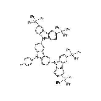 CC(C)[Si](c1ccc2c(c1)c1cc([Si](C(C)C)(C(C)C)C(C)C)ccc1n2-c1ccc2c(c1)c1cc(-n3c4ccc([Si](C(C)C)(C(C)C)C(C)C)cc4c4cc([Si](C(C)C)(C(C)C)C(C)C)ccc43)ccc1n2-c1ccc(F)cc1)(C(C)C)C(C)C